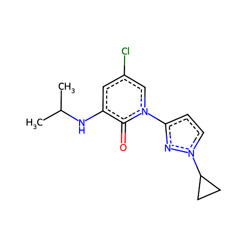 CC(C)Nc1cc(Cl)cn(-c2ccn(C3CC3)n2)c1=O